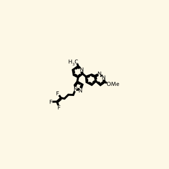 COc1cc2ccc(-c3nc(C)ccc3-c3cnn(CCCC(F)=C(F)F)c3)cc2nn1